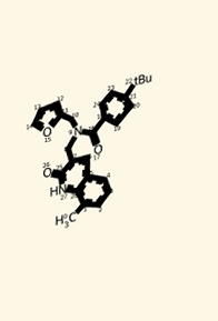 Cc1cccc2cc(CN(Cc3ccco3)C(=O)c3ccc(C(C)(C)C)cc3)c(=O)[nH]c12